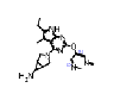 C=N/C=C(\C=N/C)Oc1nc(N2CC3C(N)C3C2)c2c(C)c(CC)[nH]c2n1